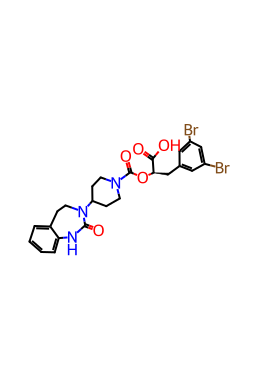 O=C(O)[C@@H](Cc1cc(Br)cc(Br)c1)OC(=O)N1CCC(N2CCc3ccccc3NC2=O)CC1